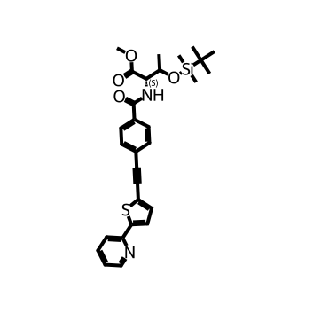 COC(=O)[C@@H](NC(=O)c1ccc(C#Cc2ccc(-c3ccccn3)s2)cc1)C(C)O[Si](C)(C)C(C)(C)C